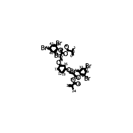 C=C(C)C(=O)OC(CCOc1cccc(OCCC(OC(=O)C(=C)C)Oc2c(Br)cc(Br)cc2Br)c1)Oc1c(Br)cc(Br)cc1Br